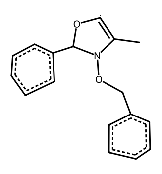 CC1=[C]OC(c2ccccc2)N1OCc1ccccc1